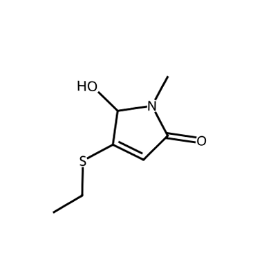 CCSC1=CC(=O)N(C)C1O